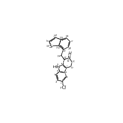 Clc1ccc2[nH]c3c(c2c1)CCNC3Cc1cccc2ccsc12